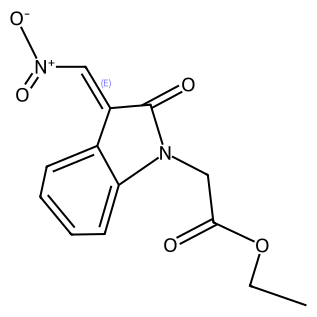 CCOC(=O)CN1C(=O)/C(=C/[N+](=O)[O-])c2ccccc21